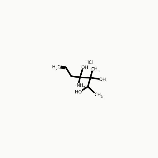 C=CCC(N)(O)C(C)(O)C(C)O.Cl